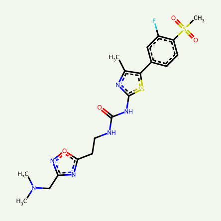 Cc1nc(NC(=O)NCCc2nc(CN(C)C)no2)sc1-c1ccc(S(C)(=O)=O)c(F)c1